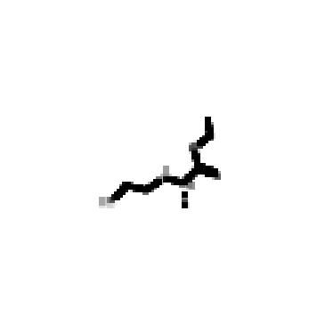 CCOC(=O)[C@H](C)NCCO